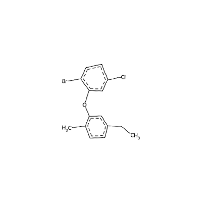 CCc1ccc(C)c(Oc2cc(Cl)ccc2Br)c1